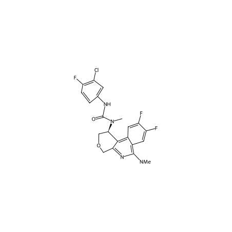 CNc1nc2c(c3cc(F)c(F)cc13)[C@H](N(C)C(=O)Nc1ccc(F)c(Cl)c1)COC2